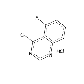 Cl.Fc1cccc2ncnc(Cl)c12